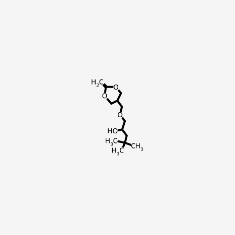 C=C1OCC(COCC(O)CC(C)(C)C)CO1